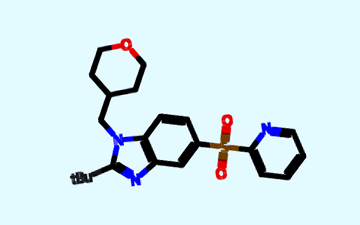 CC(C)(C)c1nc2cc(S(=O)(=O)c3ccccn3)ccc2n1CC1CCOCC1